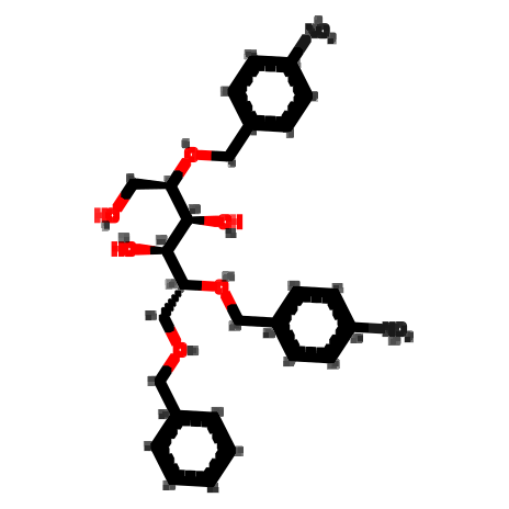 O=[N+]([O-])c1ccc(CO[C@H](CO)[C@@H](O)[C@H](O)[C@@H](COCc2ccccc2)OCc2ccc([N+](=O)[O-])cc2)cc1